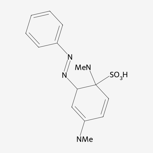 CNC1=CC(N=Nc2ccccc2)C(NC)(S(=O)(=O)O)C=C1